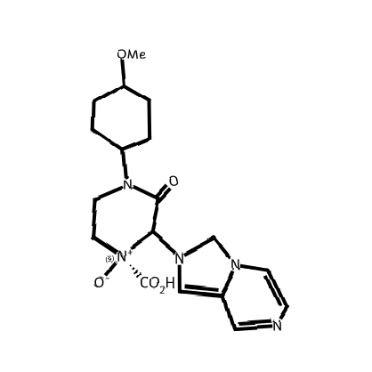 COC1CCC(N2CC[N@@+]([O-])(C(=O)O)C(N3C=C4C=NC=CN4C3)C2=O)CC1